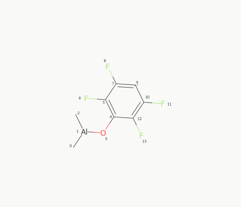 [CH3][Al]([CH3])[O]c1c(F)c(F)[c]c(F)c1F